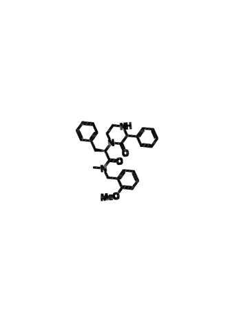 COc1ccccc1CN(C)C(=O)[C@@H](Cc1ccccc1)N1CCNC(c2ccccc2)C1=O